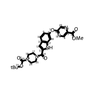 COC(=O)c1cnc(Oc2ccc3cc(C(=O)N4CCN(C(=O)OC(C)(C)C)CC4)[nH]c3c2)cn1